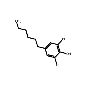 CCCCCCc1cc(Cl)c(O)c(Cl)c1